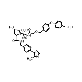 Cc1ncsc1-c1ccc(CNC(=O)[C@@H]2C[C@@H](O)CN2[C@@](C=O)(NC(=O)COCc2ccc(Oc3ccc(C(=O)O)cc3)cc2)C(C)(C)C)cc1